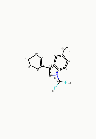 O=[N+]([O-])c1ccc2c(c1)c(C1=CCCCC1)cn2C(F)F